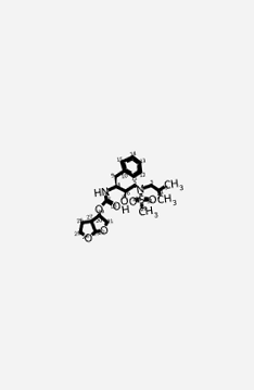 CC(C)CN(C[C@@H](O)[C@H](Cc1ccccc1)NC(=O)OC1COC2OCCC12)S(C)(=O)=O